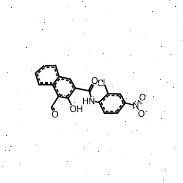 O=Cc1c(O)c(C(=O)Nc2ccc([N+](=O)[O-])cc2Cl)cc2ccccc12